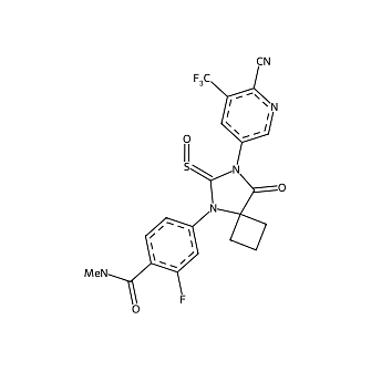 CNC(=O)c1ccc(N2C(=S=O)N(c3cnc(C#N)c(C(F)(F)F)c3)C(=O)C23CCC3)cc1F